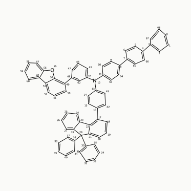 c1ccc(-c2ccc(-c3ccc(N(c4ccc(-c5cccc6c5-c5ccccc5C6(c5ccccc5)c5ccccc5)cc4)c4cccc(-c5cccc6c5oc5ccccc56)c4)cc3)cc2)cc1